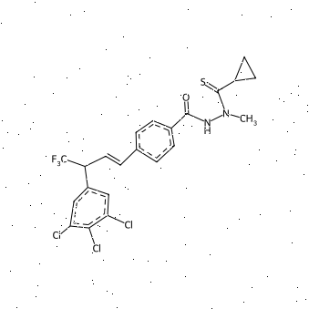 CN(NC(=O)c1ccc(/C=C/C(c2cc(Cl)c(Cl)c(Cl)c2)C(F)(F)F)cc1)C(=S)C1CC1